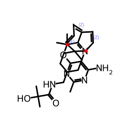 Cc1nc(N)c2c(n1)OC(C)(C)C(C1=C\C=C\C3(C/C=C\1)CCC(CNC(=O)C(C)(C)O)CC3)=N2